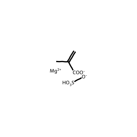 C=C(C)C(=O)[O-].O=S(=O)([O-])O.[Mg+2]